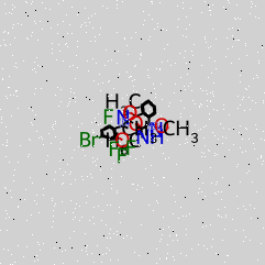 CNC(=O)/C(=N/OC)c1cccc(C)c1CO/N=C(\C)c1c(F)cc(Br)cc1OC(F)(F)F